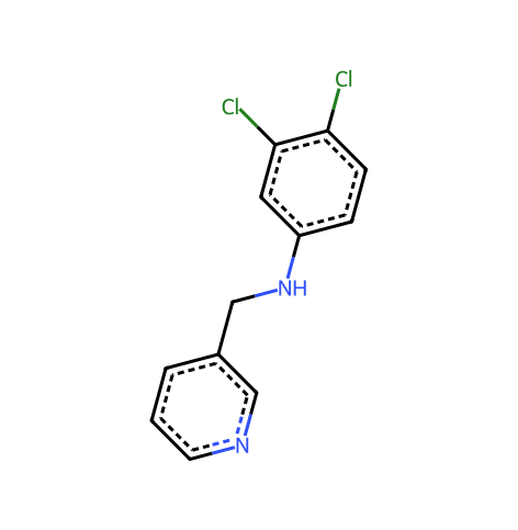 Clc1ccc(NCc2cccnc2)cc1Cl